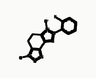 [O-][n+]1onc2c1CCc1c-2nn(-c2ccccc2F)[n+]1[O-]